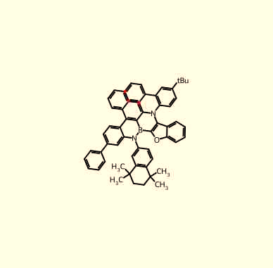 CC(C)(C)c1ccc(N2c3cc4ccccc4c4c3B(c3oc5ccccc5c32)N(c2ccc3c(c2)C(C)(C)CCC3(C)C)c2cc(-c3ccccc3)ccc2-4)c(-c2ccccc2)c1